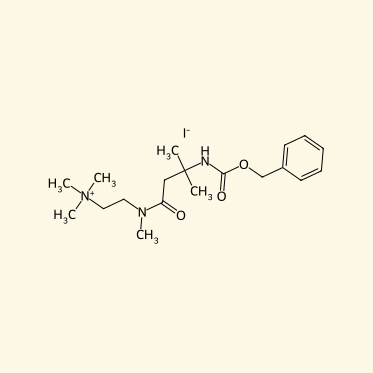 CN(CC[N+](C)(C)C)C(=O)CC(C)(C)NC(=O)OCc1ccccc1.[I-]